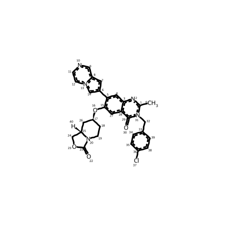 Cc1nc2cc(-c3cc4cnccn4c3)c(O[C@H]3CCN4C(=O)OC[C@@H]4C3)cc2c(=O)n1Cc1ccc(Cl)cc1